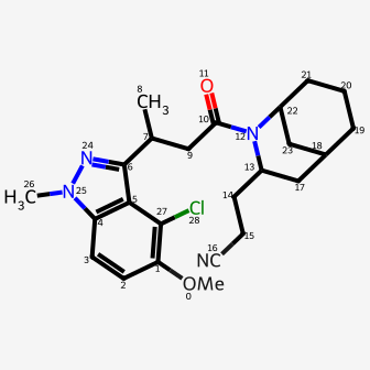 COc1ccc2c(c(C(C)CC(=O)N3C(CCC#N)CC4CCCC3C4)nn2C)c1Cl